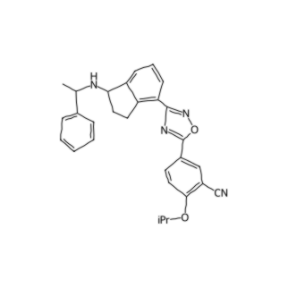 CC(C)Oc1ccc(-c2nc(-c3cccc4c3CCC4NC(C)c3ccccc3)no2)cc1C#N